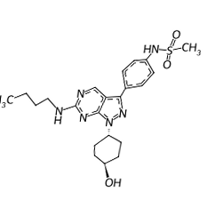 CCCCNc1ncc2c(-c3ccc(NS(C)(=O)=O)cc3)nn([C@H]3CC[C@H](O)CC3)c2n1